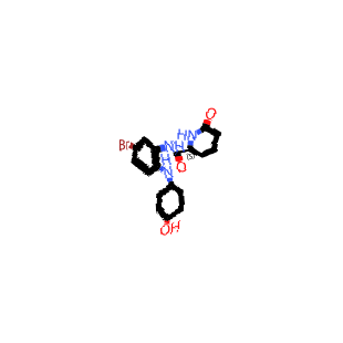 O=C1CCC[C@@H](C(=O)Nc2cc(Br)ccc2NC2CCC(O)CC2)N1